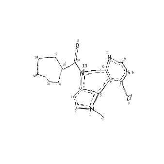 Cn1ccc2c1c1c(Cl)ncnc1n2C(=O)C1CCCCC1